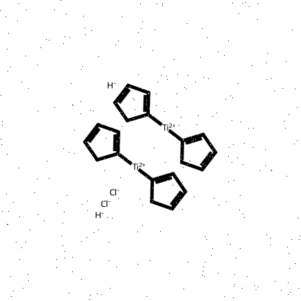 C1=CC[C]([Ti+2][C]2=CC=CC2)=C1.C1=CC[C]([Ti+2][C]2=CC=CC2)=C1.[Cl-].[Cl-].[H-].[H-]